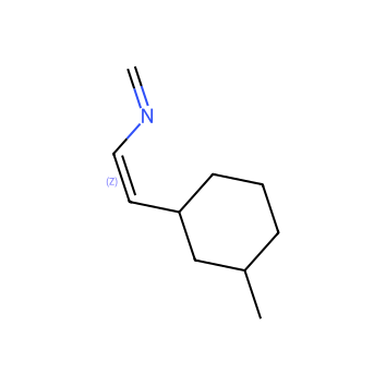 C=N/C=C\C1CCCC(C)C1